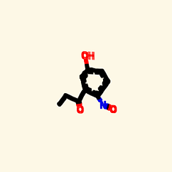 CCC(=O)c1cc(O)ccc1N=O